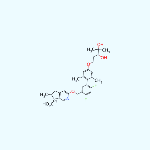 Cc1cc(OCCC(O)C(C)(C)O)cc(C)c1-c1cc(COc2cc3c(cn2)[C@@H](C(=O)O)C(C)C3)c(F)cc1F